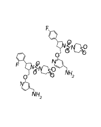 NCc1ccnc(OCC2CC(c3ccc(F)cc3)CN2S(=O)(=O)N2CCS(=O)(=O)CC2)c1.NCc1ccnc(OCC2CC(c3ccccc3F)CN2S(=O)(=O)N2CCS(=O)(=O)CC2)c1